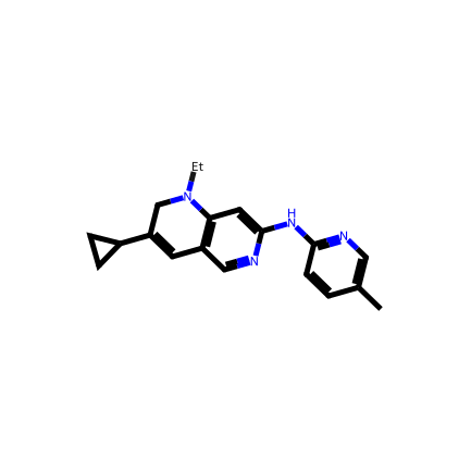 CCN1CC(C2CC2)=Cc2cnc(Nc3ccc(C)cn3)cc21